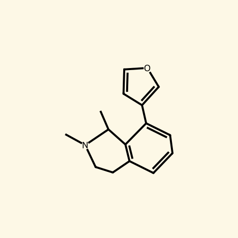 CC1c2c(cccc2-c2ccoc2)CCN1C